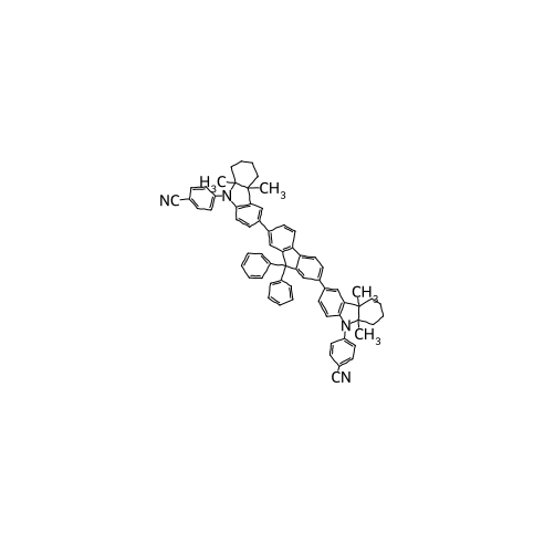 CC12CCCCC1(C)N(c1ccc(C#N)cc1)c1ccc(-c3ccc4c(c3)C(c3ccccc3)(c3ccccc3)c3cc(-c5ccc6c(c5)C5(C)CCCCC5(C)N6c5ccc(C#N)cc5)ccc3-4)cc12